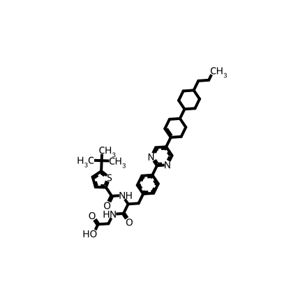 CCCC1CCC(C2CC=C(c3cnc(-c4ccc(CC(NC(=O)c5ccc(C(C)(C)C)s5)C(=O)NCC(=O)O)cc4)nc3)CC2)CC1